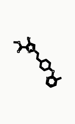 COC(=O)c1nn(CCC2CCC(Oc3ncccc3C)CC2)cc1Br